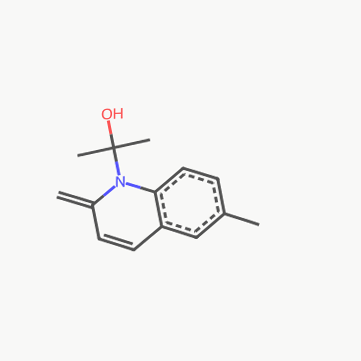 C=C1C=Cc2cc(C)ccc2N1C(C)(C)O